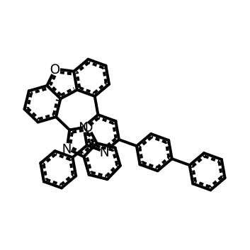 c1ccc(-c2ccc(-c3cc(-c4cccc5oc6cccc(-c7nc8ccccc8o7)c6c45)nc(-c4ccccc4)n3)cc2)cc1